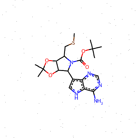 CSCC1C2OC(C)(C)OC2C(c2c[nH]c3c(N)ncnc23)N1C(=O)OC(C)(C)C